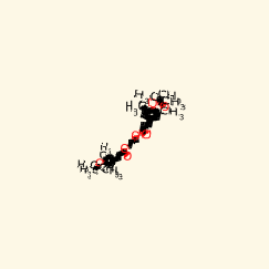 Cc1cc(CCC(=O)OCCCOC(=O)CCc2cc(C)c(OC(C)(C)C)c(C)c2)cc(C)c1OC(=O)C(C)(C)C